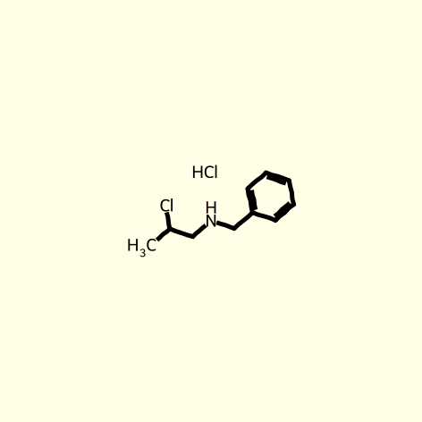 CC(Cl)CNCc1ccccc1.Cl